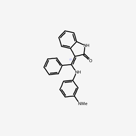 CNc1cccc(N/C(=C2\C(=O)Nc3ccccc32)c2ccccc2)c1